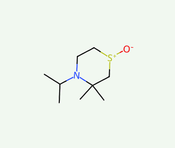 CC(C)N1CC[S+]([O-])CC1(C)C